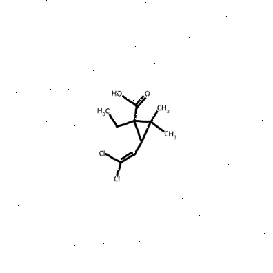 CCC1(C(=O)O)C(C=C(Cl)Cl)C1(C)C